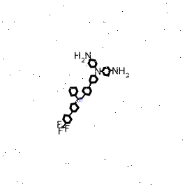 Nc1ccc(N(c2ccc(N)cc2)c2ccc(-c3ccc(/C=C(\c4ccccc4)c4ccc(-c5ccc(C(F)(F)F)cc5)cc4)cc3)cc2)cc1